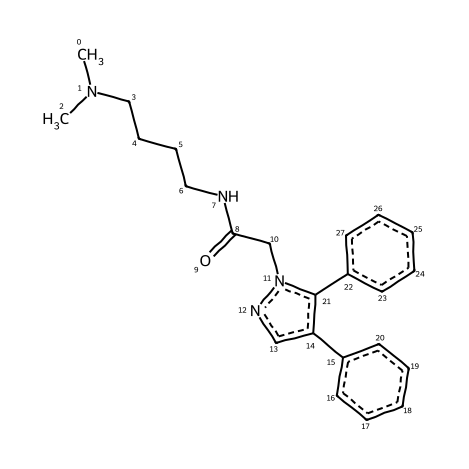 CN(C)CCCCNC(=O)Cn1ncc(-c2ccccc2)c1-c1ccccc1